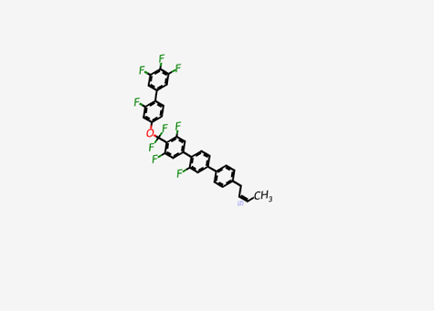 C/C=C\Cc1ccc(-c2ccc(-c3cc(F)c(C(F)(F)Oc4ccc(-c5cc(F)c(F)c(F)c5)c(F)c4)c(F)c3)c(F)c2)cc1